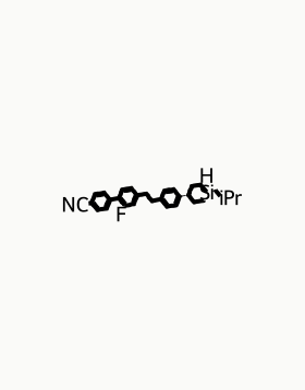 CC(C)C[Si@H]1CC[C@H](c2ccc(CCc3ccc(-c4ccc(C#N)cc4)c(F)c3)cc2)CC1